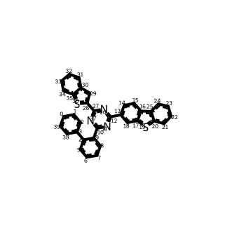 c1ccc(-c2ccccc2-c2nc(-c3ccc4c(c3)sc3ccccc34)nc(-c3cc4ccccc4s3)n2)cc1